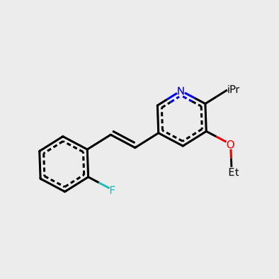 CCOc1cc(/C=C/c2ccccc2F)cnc1C(C)C